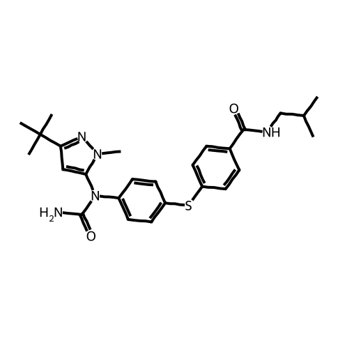 CC(C)CNC(=O)c1ccc(Sc2ccc(N(C(N)=O)c3cc(C(C)(C)C)nn3C)cc2)cc1